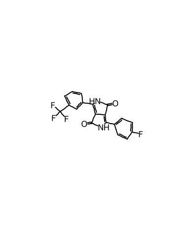 O=C1NC(c2cccc(C(F)(F)F)c2)=C2C(=O)NC(c3ccc(F)cc3)=C12